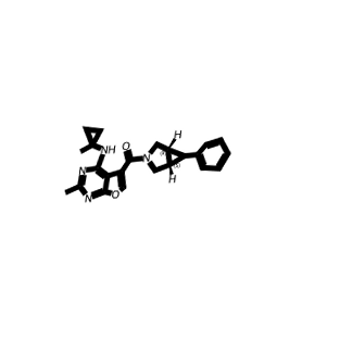 Cc1nc(NC2(C)CC2)c2c(C(=O)N3C[C@@H]4C(c5ccccc5)[C@@H]4C3)coc2n1